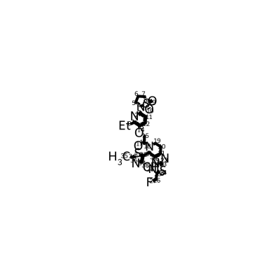 CCc1nc(N2CCCS2(=O)=O)ccc1OCC(=O)N1CCc2nc3sc(CF)nn3c2C1c1sc(C)nc1C